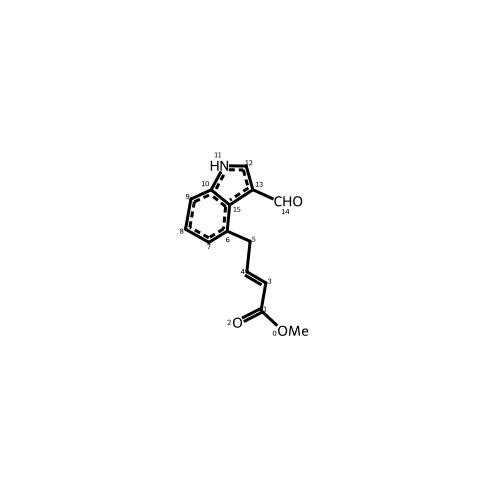 COC(=O)/C=C/Cc1cccc2[nH]cc(C=O)c12